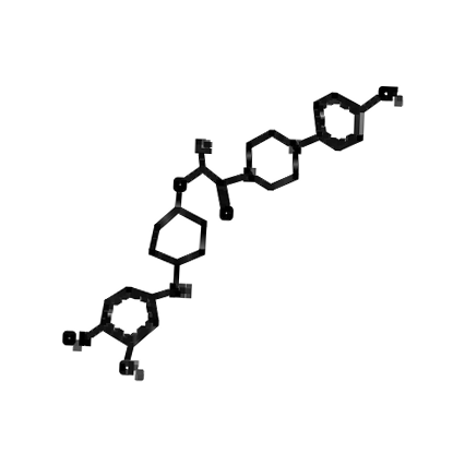 CCC(OC1CCC(Nc2ccc([N+](=O)[O-])c(C(F)(F)F)c2)CC1)C(=O)N1CCN(c2ccc(C(F)(F)F)cc2)CC1